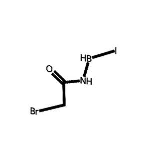 O=C(CBr)NBI